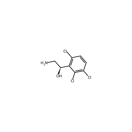 NC[C@H](O)c1c(Cl)ccc(Cl)c1Cl